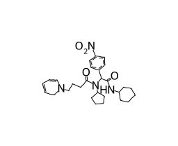 O=C(NC1CCCCC1)C(c1ccc([N+](=O)[O-])cc1)N(C(=O)CCCN1C=CC=CC1)C1CCCC1